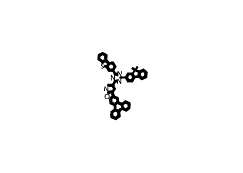 CC1(C)c2ccccc2-c2ccc(-c3nc(-c4ccc5c(c4)sc4ccccc45)nc(-c4cnc5oc6cc7c8ccccc8c8ccccc8c7cc6c5c4)n3)cc21